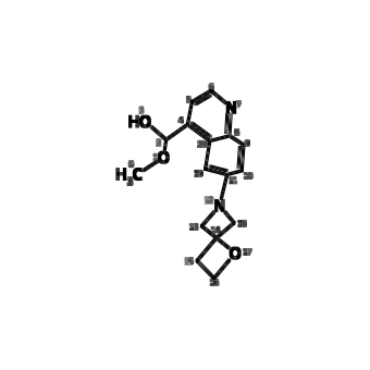 COC(O)c1ccnc2ccc(N3CC4(CCO4)C3)cc12